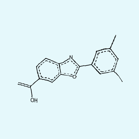 C=C(O)c1ccc2nc(-c3cc(C)cc(C)c3)oc2c1